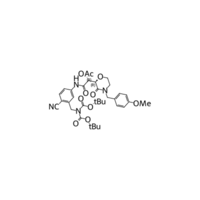 COc1ccc(CN2CCO[C@H]([C@@H](OC(C)=O)C(=O)Nc3ccc(C#N)c(CN(C(=O)OC(C)(C)C)C(=O)OC(C)(C)C)c3)C2=O)cc1